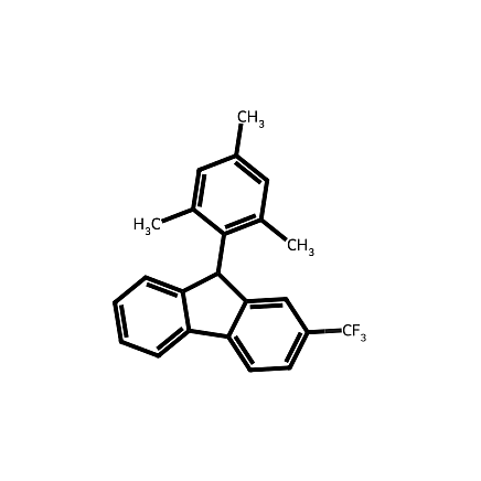 Cc1cc(C)c(C2c3ccccc3-c3ccc(C(F)(F)F)cc32)c(C)c1